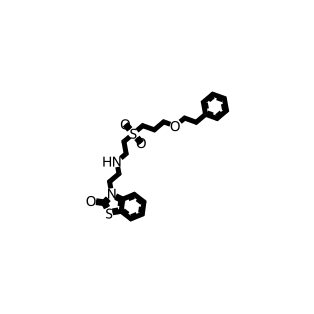 O=c1sc2ccccc2n1CCNCCS(=O)(=O)CCCOCCc1ccccc1